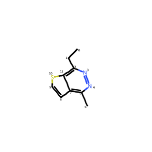 CCc1nnc(C)c2ccsc12